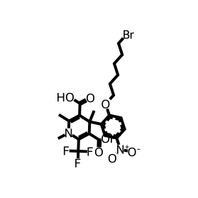 CC1=C(C(=O)O)C(C)(c2cc([N+](=O)[O-])ccc2OCCCCCCBr)C(C(=O)O)=C(C(F)(F)F)N1C